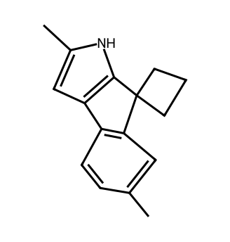 Cc1ccc2c(c1)C1(CCC1)c1[nH]c(C)cc1-2